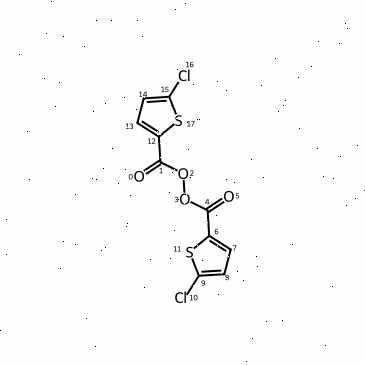 O=C(OOC(=O)c1ccc(Cl)s1)c1ccc(Cl)s1